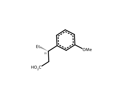 CC[C@@H](CC(=O)O)c1cccc(OC)c1